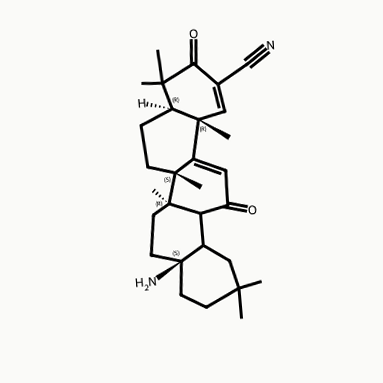 CC1(C)CC[C@]2(N)CC[C@]3(C)C(C(=O)C=C4[C@@]5(C)C=C(C#N)C(=O)C(C)(C)[C@@H]5CC[C@]43C)C2C1